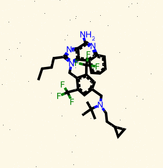 CCCCc1nc2c(N)nc3ccccc3c2n1Cc1c(C(F)(F)F)cc(CN(CCC2CC2)C(C)(C)C)cc1C(F)(F)F